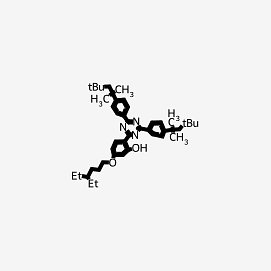 CCC(CC)CCCOc1ccc(-c2nc(-c3ccc(C(C)(C)CC(C)(C)C)cc3)nc(-c3ccc(C(C)(C)CC(C)(C)C)cc3)n2)c(O)c1